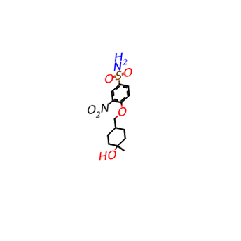 CC1(O)CCC(COc2ccc(S(N)(=O)=O)cc2[N+](=O)[O-])CC1